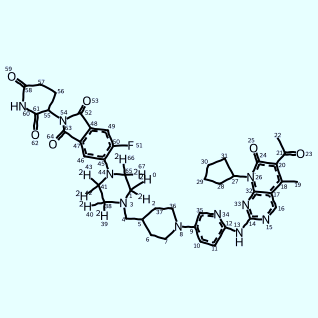 [2H]C1([2H])N(CC2CCN(c3ccc(Nc4ncc5c(C)c(C(C)=O)c(=O)n(C6CCCC6)c5n4)nc3)CC2)C([2H])([2H])C([2H])([2H])N(c2cc3c(cc2F)C(=O)N(C2CCC(=O)NC2=O)C3=O)C1([2H])[2H]